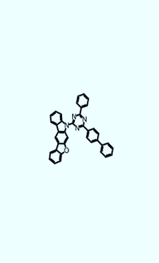 c1ccc(-c2ccc(-c3nc(-c4ccccc4)nc(-n4c5ccccc5c5cc6c(cc54)oc4ccccc46)n3)cc2)cc1